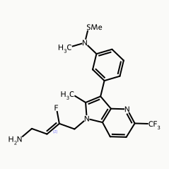 CSN(C)c1cccc(-c2c(C)n(C/C(F)=C/CN)c3ccc(C(F)(F)F)nc23)c1